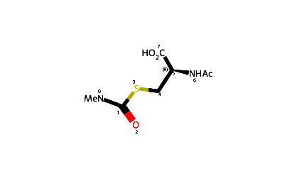 CNC(=O)SC[C@H](NC(C)=O)C(=O)O